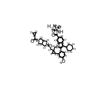 COc1ccc2c(c1)C1CC1(CON1CC3CN(C(=O)C4CC4)CC3C1)Cn1c-2c(C2CCCCC2)c2ccc(C(=O)NS(N)(=O)=O)cc21